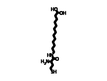 NC(CCS)C(=O)NCCCCCCCCCCCCC(O)O